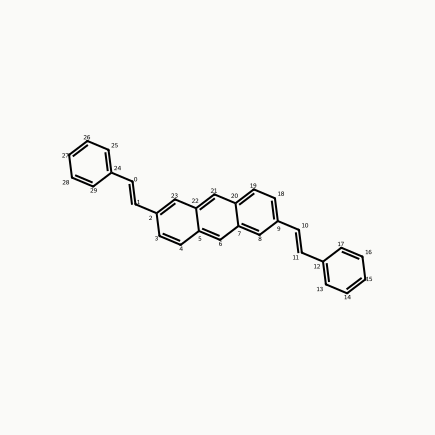 C(=Cc1ccc2cc3cc(C=Cc4ccccc4)ccc3cc2c1)c1ccccc1